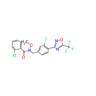 CON(Cc1ccc(-c2noc(C(F)(F)F)n2)c(F)c1)C(=O)c1ccccc1Cl